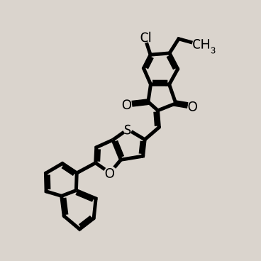 CCc1cc2c(cc1Cl)C(=O)/C(=C\c1cc3oc(-c4cccc5ccccc45)cc3s1)C2=O